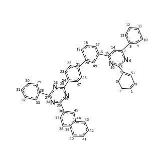 C1=CCCC(c2nc(-c3ccccc3)cc(-c3cccc(-c4ccc(-c5nc(-c6ccccc6)nc(-c6ccc7ccccc7c6)n5)cc4)c3)n2)=C1